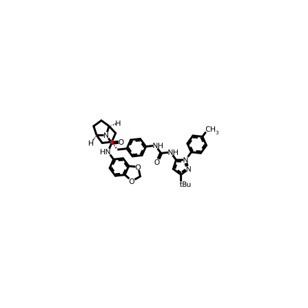 Cc1ccc(-n2nc(C(C)(C)C)cc2NC(=O)Nc2ccc(C[C@@H]3C[C@H]4CC[C@@H](C3)N4C(=O)Nc3ccc4c(c3)OCO4)cc2)cc1